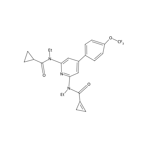 CCN(C(=O)C1=CC1)c1cc(-c2ccc(OC(F)(F)F)cc2)cc(N(CC)C(=O)C2CC2)n1